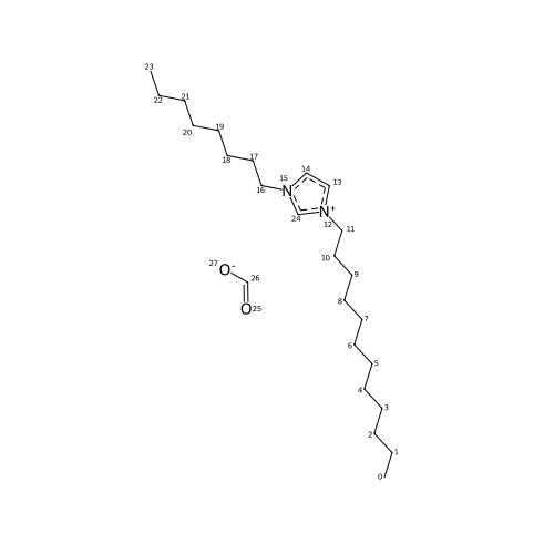 CCCCCCCCCCCC[n+]1ccn(CCCCCCCC)c1.O=C[O-]